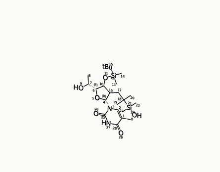 Cc1cn([C@@H]2O[C@H](C(C)O)C(O[Si](C)(C)C(C)(C)C)C2CC(C)(C)[Si](C)(C)O)c(=O)[nH]c1=O